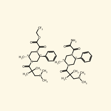 C[C@@H]1CN(C(=O)C(=O)OCC(F)(F)F)[C@@H](c2ccccc2)CN1C(=O)C(C)(C)CN(C)C.C[C@@H]1CN(C(=O)C(N)=O)[C@@H](c2ccccc2)CN1C(=O)C(C)(C)CN(C)C